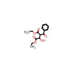 CCOC(=O)C(O)C(C(=O)OCC)C(=O)c1ccccc1